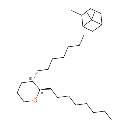 CC1CCC2CC1C2(C)C.CCCCCCCC[C@H]1OCCC[C@@H]1CCCCCCC